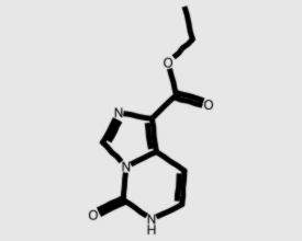 CCOC(=O)c1ncn2c(=O)[nH]ccc12